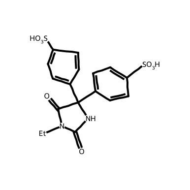 CCN1C(=O)NC(c2ccc(S(=O)(=O)O)cc2)(c2ccc(S(=O)(=O)O)cc2)C1=O